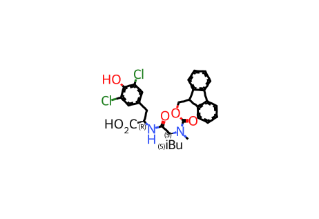 CC[C@H](C)[C@@H](C(=O)N[C@H](Cc1cc(Cl)c(O)c(Cl)c1)C(=O)O)N(C)C(=O)OCC1c2ccccc2-c2ccccc21